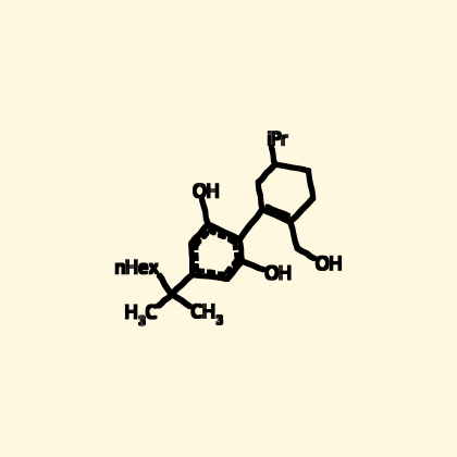 CCCCCCC(C)(C)c1cc(O)c(C2=C(CO)CCC(C(C)C)C2)c(O)c1